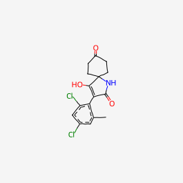 Cc1cc(Cl)cc(Cl)c1C1=C(O)C2(CCC(=O)CC2)NC1=O